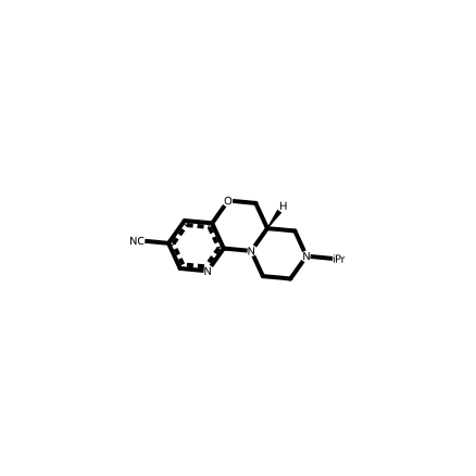 CC(C)N1CCN2c3ncc(C#N)cc3OC[C@@H]2C1